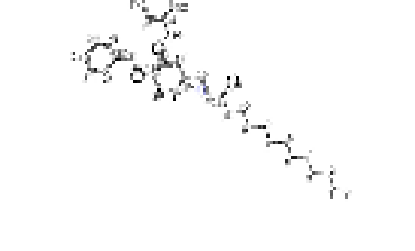 CCCCCCCCCCCCC(=O)/C=C/c1ccc(OCc2ccccc2)c(OCc2ccccc2)c1